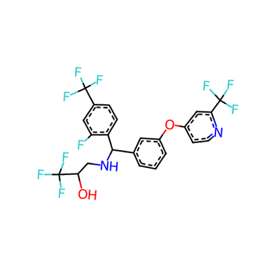 OC(CNC(c1cccc(Oc2ccnc(C(F)(F)F)c2)c1)c1ccc(C(F)(F)F)cc1F)C(F)(F)F